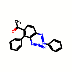 CC(=O)c1ccc(N=Nc2ccccc2)c(N=[N+]=[N-])c1-c1ccccc1